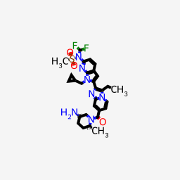 CCc1c(-c2cc3ccc(N(C(F)F)S(C)(=O)=O)nc3n2CC2CC2)nc2cc(C(=O)N3C[C@H](N)CC[C@@H]3C)ccn12